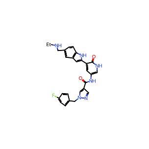 CCNCc1ccc2[nH]c(-c3cc(NC(=O)c4cnn(Cc5ccc(F)cc5)c4)c[nH]c3=O)cc2c1